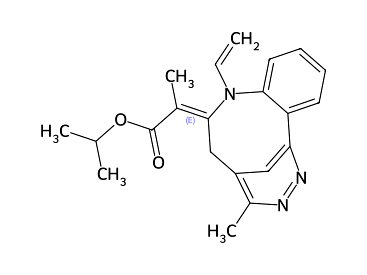 C=CN1/C(=C(\C)C(=O)OC(C)C)Cc2cc(nnc2C)-c2ccccc21